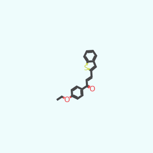 CCOc1ccc(C(=O)C=Cc2cc3ccccc3s2)cc1